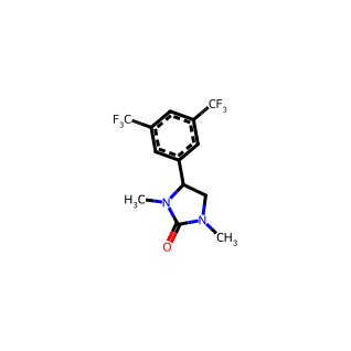 CN1CC(c2cc(C(F)(F)F)cc(C(F)(F)F)c2)N(C)C1=O